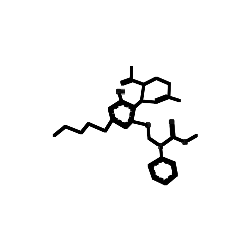 C=C(C)C1CCC(C)=CC1c1c(O)cc(CCCCC)cc1OCN(C(=O)OC)c1ccccc1